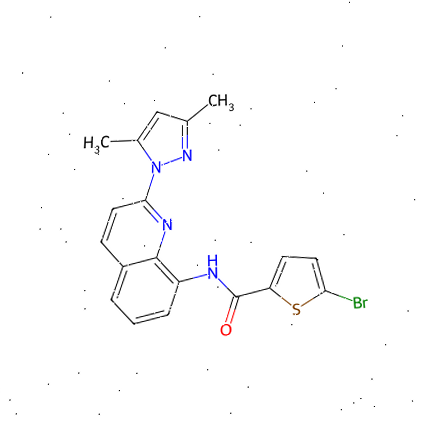 Cc1cc(C)n(-c2ccc3cccc(NC(=O)c4ccc(Br)s4)c3n2)n1